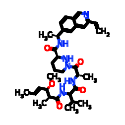 C=Cc1cc2cc([C@@H](C)NC(=O)[C@@H]3CCCN(C(=O)[C@H](C)NC(=O)C(NC(=O)[C@H](C)[C@@H](/C=C/C)OC)C(C)C)N3)ccc2cn1